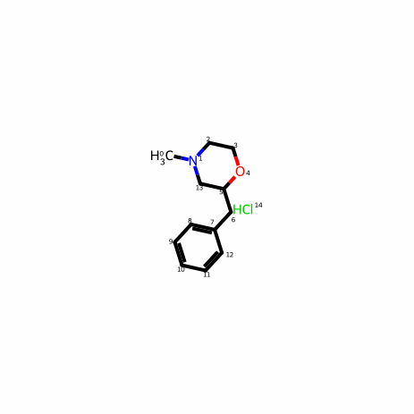 CN1CCOC(Cc2ccccc2)C1.Cl